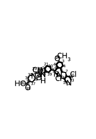 COc1ccc2c(Cc3c(Cl)cncc3Cl)nnc(-c3cccc(NS(=O)(=O)C(C)N4CCC(C(=O)O)CC4)c3)c2c1